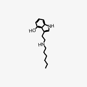 CCCCCCNCCc1c[nH]c2cccc(O)c12